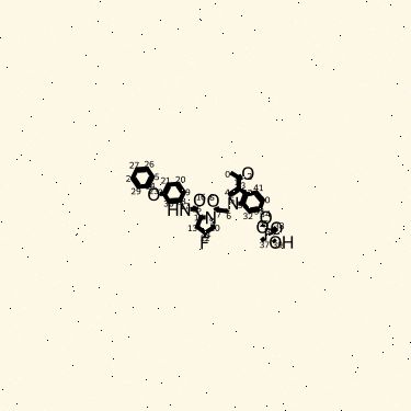 CC(=O)c1cn(CC(=O)N2C[C@H](F)C[C@H]2C(=O)Nc2cccc(Oc3ccccc3)c2)c2cc(OOP(C)(=O)O)ccc12